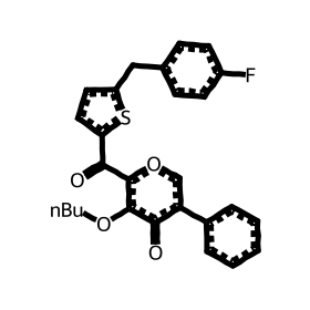 CCCCOc1c(C(=O)c2ccc(Cc3ccc(F)cc3)s2)occ(-c2ccccc2)c1=O